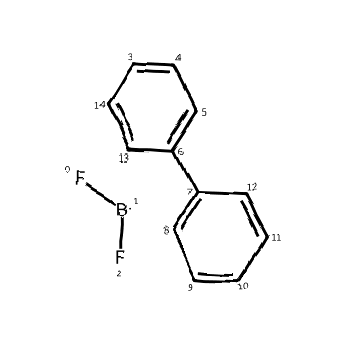 F[B]F.c1ccc(-c2ccccc2)cc1